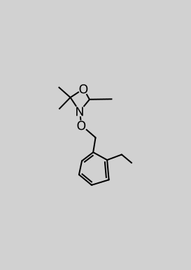 CCc1ccccc1CON1C(C)OC1(C)C